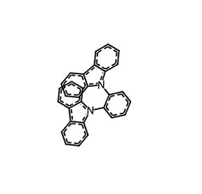 c1ccc(-n2c3ccccc3c3ccccc32)c(-n2c3ccccc3c3ccccc32)c1